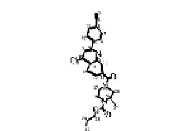 C#Cc1ccc(-c2cc(Cl)c3ccc(C(=O)N4CCN(C(=O)OCCC)[C@H](C)C4)cc3n2)cc1